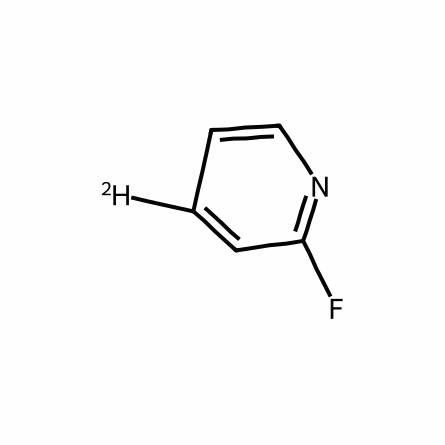 [2H]c1ccnc(F)c1